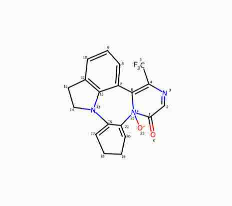 O=C1C=NC(C(F)(F)F)=C2c3cccc4c3N(CC4)C3=CCCC=C3[N+]12[O-]